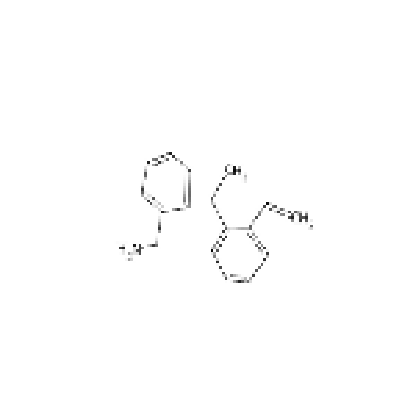 C=Cc1ccccc1CC.NCc1ccccc1